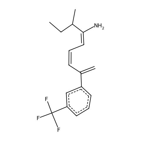 C=C(/C=C\C=C(\N)C(C)CC)c1cccc(C(F)(F)F)c1